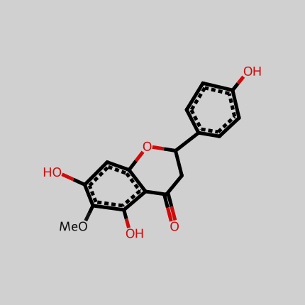 COc1c(O)cc2c(c1O)C(=O)CC(c1ccc(O)cc1)O2